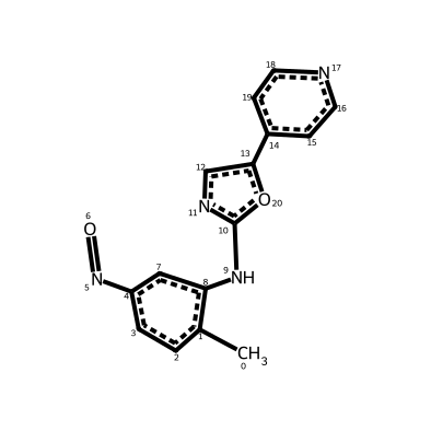 Cc1ccc(N=O)cc1Nc1ncc(-c2ccncc2)o1